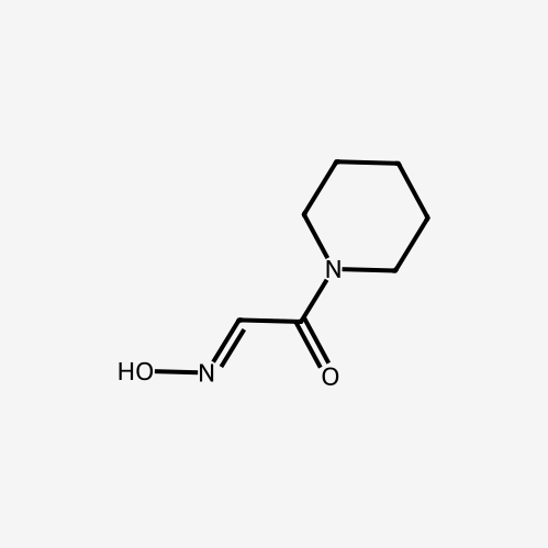 O=C(/C=N/O)N1CCCCC1